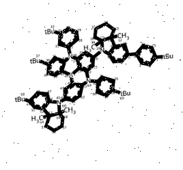 CC(C)(C)c1ccc(-c2ccc3c(c2)C2(C)CCCCC2(C)N3c2cc3c4c(c2)N(c2cccc(C(C)(C)C)c2)c2cc(C(C)(C)C)ccc2B4c2cc(N4c5ccc(C(C)(C)C)cc5C5(C)CCCCC45C)ccc2N3c2ccc(C(C)(C)C)cc2)cc1